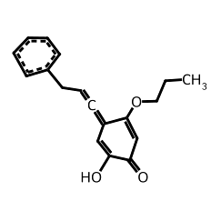 CCCOC1=CC(=O)C(O)=CC1=C=CCc1ccccc1